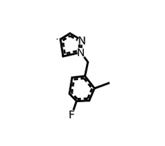 Cc1cc(F)ccc1Cn1c[c]cn1